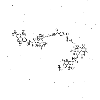 CC(=O)N[C@H]1[C@H]([C@H](O)[C@H](O)CNC(=O)c2ccc(-c3ccc([N+](=O)[O-])cc3[N+](=O)[O-])c([N+](=O)[O-])c2)O[C@@](OCCCSCCNC(=O)c2ccc(C(=O)NCCSCCCO[C@]3(C(=O)O)C[C@H](O)[C@@H](NC(C)=O)[C@H]([C@H](O)[C@H](O)CNC(=O)c4ccc(-c5ccc([N+](=O)[O-])cc5[N+](=O)[O-])c([N+](=O)[O-])c4)O3)cc2)(C(=O)O)C[C@@H]1O